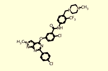 CN1CCN(Cc2ccc(NC(=O)c3cc(Oc4nc(-c5ccc(Cl)cc5)nc5nn(C)cc45)ccc3Cl)cc2C(F)(F)F)CC1